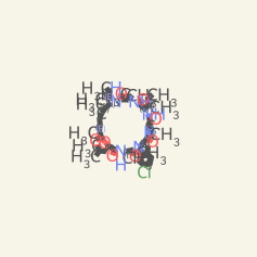 C/C=C(\C)[C@H]1NC(=O)C(C)(C)NC(=O)[C@H]([C@H](C)CC)NC(=O)CN(C)C(=O)[C@@H](Cc2ccc(Cl)cc2)N(C)C(=O)[C@H](C)NC(=O)[C@@H](CC(C)C)OC(=O)/C(C)=C/CC[C@@H]1C